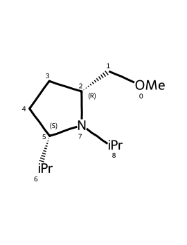 COC[C@H]1CC[C@@H](C(C)C)N1C(C)C